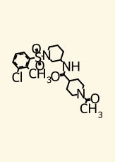 CC(=O)N1CCC(C(=O)NC2CCCN(S(=O)(=O)c3cccc(Cl)c3C)C2)CC1